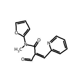 CN(C(=O)C([C]=O)=Cc1ccccn1)c1ccco1